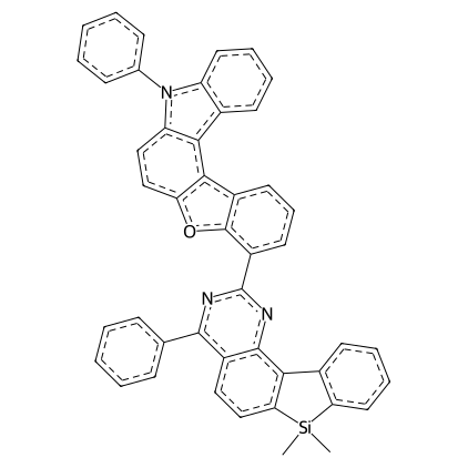 C[Si]1(C)c2ccccc2-c2c1ccc1c(-c3ccccc3)nc(-c3cccc4c3oc3ccc5c(c6ccccc6n5-c5ccccc5)c34)nc21